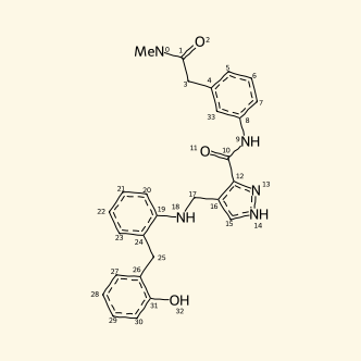 CNC(=O)Cc1cccc(NC(=O)c2n[nH]cc2CNc2ccccc2Cc2ccccc2O)c1